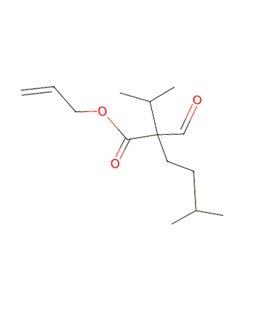 C=CCOC(=O)C(C=O)(CCC(C)C)C(C)C